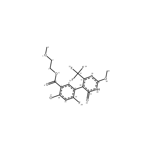 COCCOC(=O)c1cc(-c2c(C(F)(F)F)nc(OC)[nH]c2=O)c(F)cc1Cl